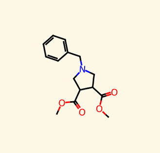 COC(=O)C1CN(Cc2ccccc2)CC1C(=O)OC